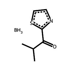 B.CC(C)C(=O)c1nccs1